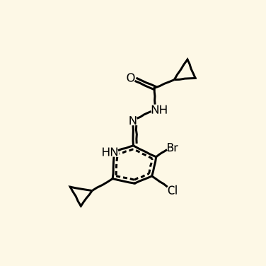 O=C(NN=c1[nH]c(C2CC2)cc(Cl)c1Br)C1CC1